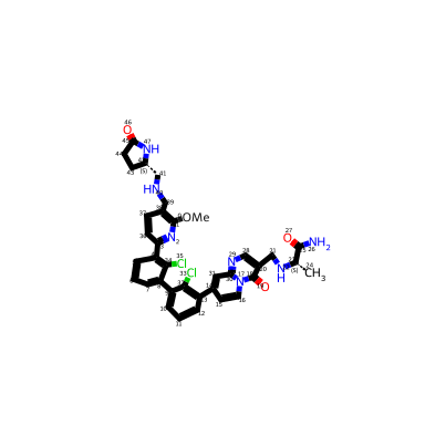 COc1nc(-c2cccc(-c3cccc(-c4ccn5c(=O)c(CN[C@@H](C)C(N)=O)cnc5c4)c3Cl)c2Cl)ccc1CNC[C@@H]1CCC(=O)N1